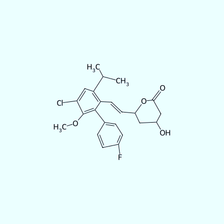 COc1c(Cl)cc(C(C)C)c(C=CC2CC(O)CC(=O)O2)c1-c1ccc(F)cc1